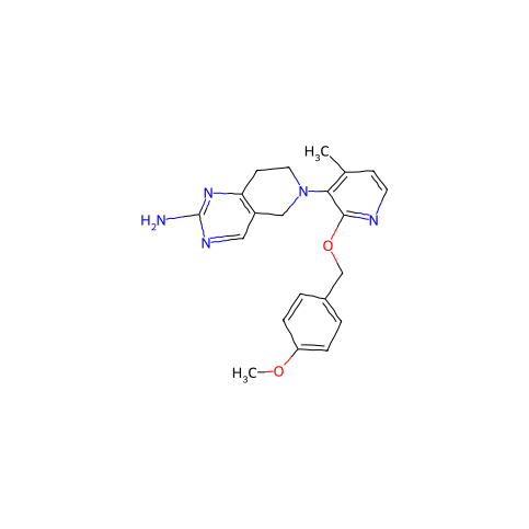 COc1ccc(COc2nccc(C)c2N2CCc3nc(N)ncc3C2)cc1